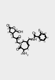 NC1CC=C(CNC(=O)c2ccccc2F)CN(CC(=O)CC2CC(=O)OC2O)C1=O